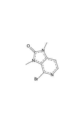 Cn1c(=O)n(C)c2c(Br)nccc21